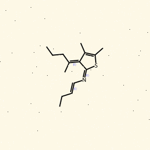 CC/C=C/N=C1/SC(C)=C(C)/C1=C(/C)CCC